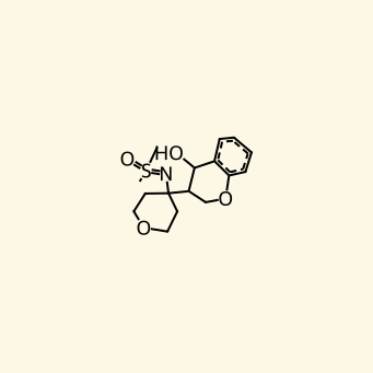 CS(C)(=O)=NC1(C2COc3ccccc3C2O)CCOCC1